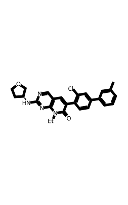 CCn1c(=O)c(-c2ccc(-c3cccc(C)c3)cc2Cl)cc2cnc(N[C@@H]3CCOC3)nc21